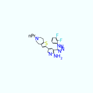 CCCN1CCc2cc(-c3cnc(N)c(-c4nnnn4-c4cccc(F)c4F)c3)sc2CC1